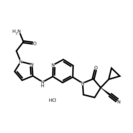 Cl.N#C[C@@]1(C2CC2)CCN(c2ccnc(Nc3ccn(CC(N)=O)n3)c2)C1=O